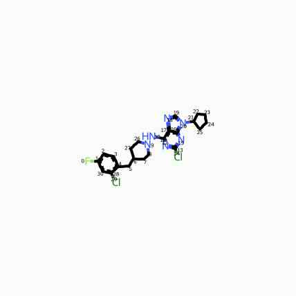 Fc1ccc(CC2CCN(Nc3nc(Cl)nc4c3ncn4C3CCCC3)CC2)c(Cl)c1